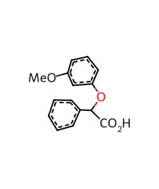 COc1cccc(OC(C(=O)O)c2ccccc2)c1